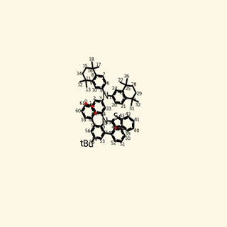 Cc1cc(N(c2ccc3c(c2)C(C)(C)CCC3(C)C)c2ccc3c(c2)C(C)(C)CCC3(C)C)cc(N(c2cc3ccccc3s2)c2c(-c3ccccc3)cc(C(C)(C)C)cc2-c2ccccc2)c1